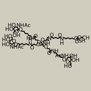 C#COP(=O)(S)OCCCCCCNC(=O)CCCC(=O)N1CC(C(=O)NC(COCCC(=O)NCCCCCCOC2OC(CO)C(O)C(O)C2NC(C)=O)(COCCC(=O)NCCCCCCOC2OC(CO)C(O)C(O)C2NC(C)=O)COCCC(=O)NCCCCCCOC2OC(CO)C(O)C(O)C2NC(C)=O)C1